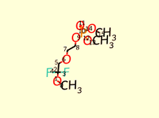 COC(F)(F)COCCOP(=O)(OC)OC